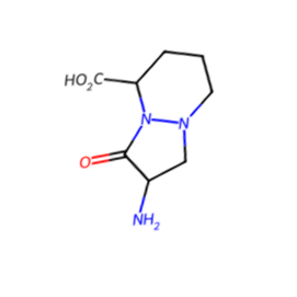 NC1CN2CCCC(C(=O)O)N2C1=O